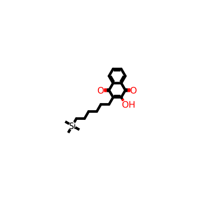 C[Si](C)(C)CCCCCCC1=C(O)C(=O)c2ccccc2C1=O